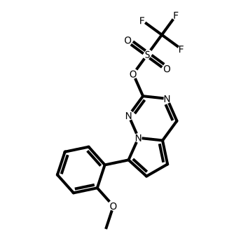 COc1ccccc1-c1ccc2cnc(OS(=O)(=O)C(F)(F)F)nn12